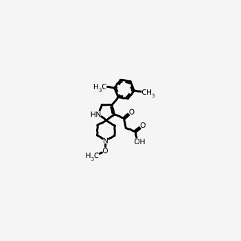 CON1CCC2(CC1)NCC(c1cc(C)ccc1C)=C2C(=O)CC(=O)O